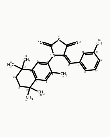 Cc1cc2c(cc1N1C(=O)SC(=O)C1=Cc1cccc(O)c1)C(C)(C)CCC2(C)C